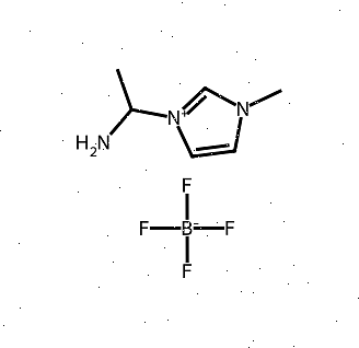 CC(N)[n+]1ccn(C)c1.F[B-](F)(F)F